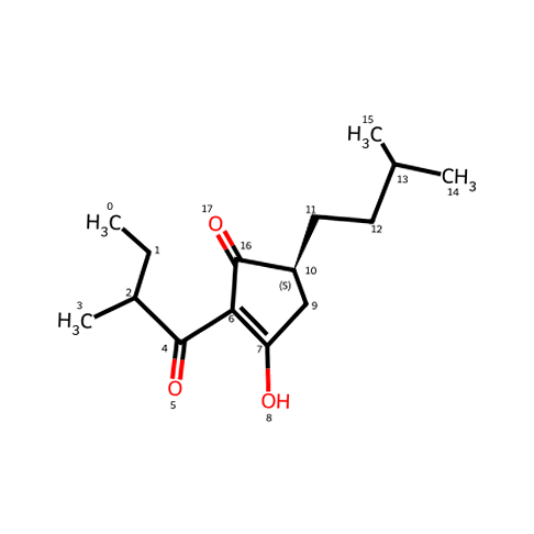 CCC(C)C(=O)C1=C(O)C[C@H](CCC(C)C)C1=O